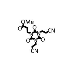 COC(=O)CCn1c(=O)n(CCC#N)c(=O)n(CCC#N)c1=O